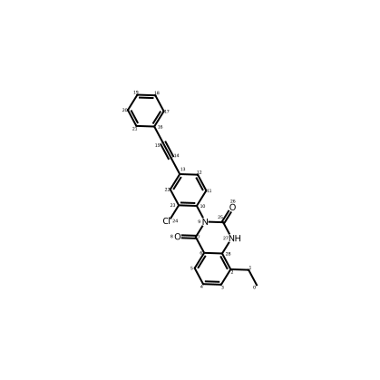 CCc1cccc2c(=O)n(-c3ccc(C#Cc4ccccc4)cc3Cl)c(=O)[nH]c12